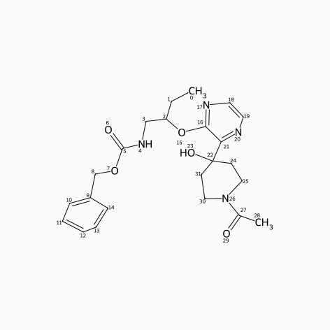 CCC(CNC(=O)OCc1ccccc1)Oc1nccnc1C1(O)CCN(C(C)=O)CC1